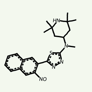 CN(c1nnc(-c2cc3ccccc3cc2N=O)s1)C1CC(C)(C)NC(C)(C)C1